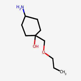 CCCOCC1(O)CCC(N)CC1